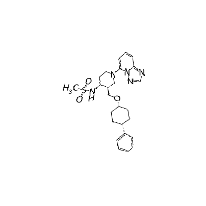 CS(=O)(=O)N[C@H]1CCN(c2cccc3ncnn23)C[C@H]1CO[C@H]1CC[C@@H](c2ccccc2)CC1